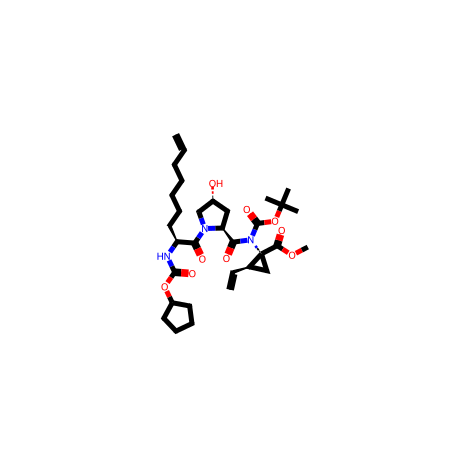 C=CCCCCC[C@H](NC(=O)OC1CCCC1)C(=O)N1C[C@H](O)C[C@H]1C(=O)N(C(=O)OC(C)(C)C)[C@]1(C(=O)OC)C[C@H]1C=C